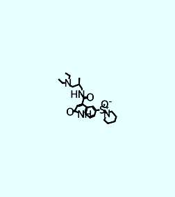 CCN(CC)CC(C)CNC(=O)c1cc(=O)[nH]c2ccc([S+]([O-])N3CCCCC3)cc12